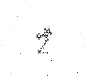 CCCCCN(C)CCCCCCO[C@H]1CC[C@H](N(Cc2cc(F)c(F)cc2F)C(=O)OCc2ccccc2)CC1